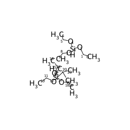 CCO[SiH](OCC)OCC.CCO[Si](OCC)(OCC)C(C)(C)C